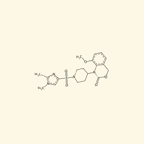 COc1cccc2c1N(C1CCN(S(=O)(=O)c3cn(C)c(C)n3)CC1)C(=O)OC2